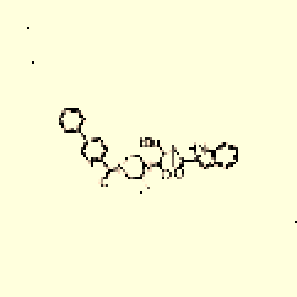 C[C@@H]1CN(C(=O)c2ccc(-c3ccccc3)cn2)CCN1C(=O)C(NC(=O)c1cc2ccccc2[nH]1)C(C)(C)C